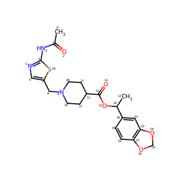 CC(=O)Nc1ncc(CN2CCC(C(=O)OC(C)c3ccc4c(c3)OCO4)CC2)s1